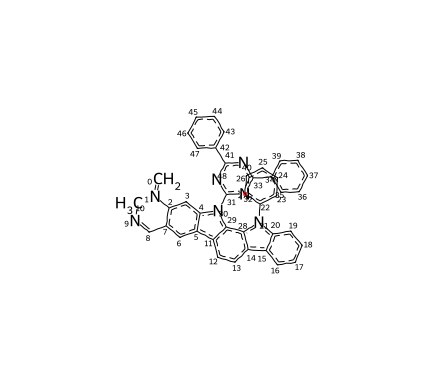 C=Nc1cc2c(cc1/C=N\C)c1ccc3c4ccccc4n(-c4ccccc4)c3c1n2-c1nc(-c2ccccc2)nc(-c2ccccc2)n1